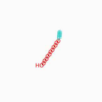 OCCOCCOCCOCCOCCOCCOCCOCCOCCOCCOCCOCCC(F)(F)C(F)(F)C(F)(F)C(F)(F)C(F)(F)C(F)(F)F